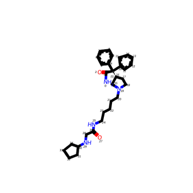 NC(=O)C(c1ccccc1)(c1ccccc1)[C@@H]1CCN(CCCCCNC(=O)CNC2CCCC2)C1